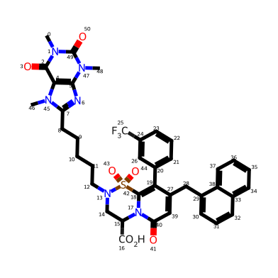 Cn1c(=O)c2c(nc(CCCCCN3CC(C(=O)O)n4c(c(-c5cccc(C(F)(F)F)c5)c(Cc5cccc6ccccc56)cc4=O)S3(=O)=O)n2C)n(C)c1=O